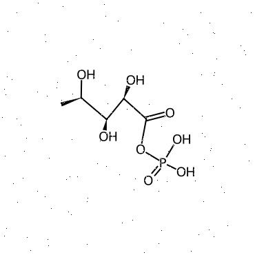 C[C@@H](O)[C@H](O)[C@@H](O)C(=O)OP(=O)(O)O